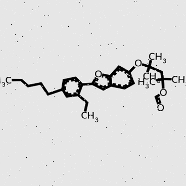 CCCCCc1ccc(-c2cc3ccc(OC(C)(C)CC(C)(C)OC=O)cc3o2)c(CC)c1